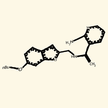 C=C(NCc1cc2ccc(OCCCC)cc2o1)c1cccnc1N